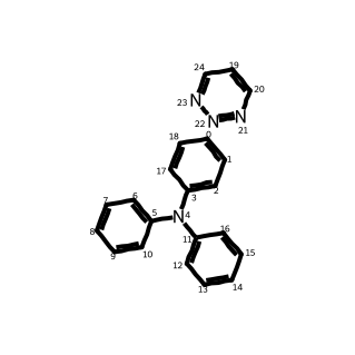 c1ccc(N(c2ccccc2)c2ccccc2)cc1.c1cnnnc1